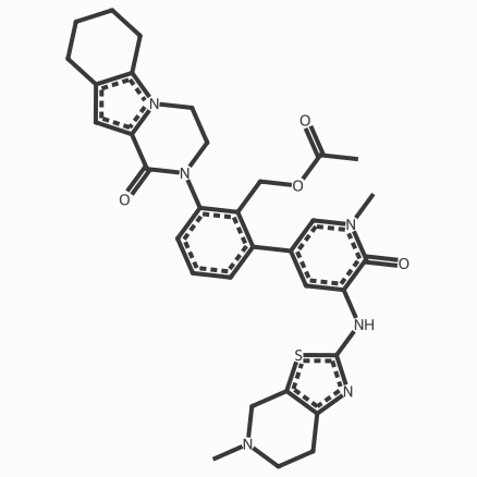 CC(=O)OCc1c(-c2cc(Nc3nc4c(s3)CN(C)CC4)c(=O)n(C)c2)cccc1N1CCn2c(cc3c2CCCC3)C1=O